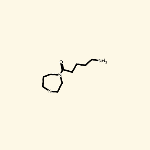 NCCCCC(=O)N1CCC[N]CC1